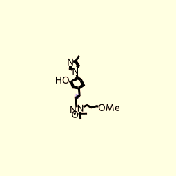 COCCCN1C(/C=C/c2ccc(-n3cnc(C)c3)c(O)c2)=NOC1(C)C